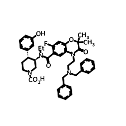 CCN(C(=O)c1cc2c(cc1F)OC(C)(C)C(=O)N2CCN(Cc1ccccc1)Cc1ccccc1)[C@H]1CN(C(=O)O)CC[C@@H]1c1cccc(O)c1